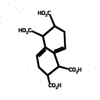 O=C(O)C1CC=C2C(=CCC(C(=O)O)C2C(=O)O)C1C(=O)O